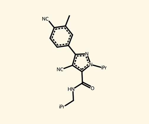 Cc1cc(-c2nn(C(C)C)c(C(=O)NCC(C)C)c2C#N)ccc1C#N